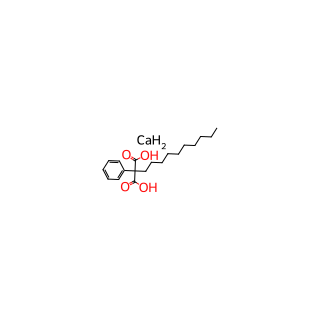 CCCCCCCCCCC(C(=O)O)(C(=O)O)c1ccccc1.[CaH2]